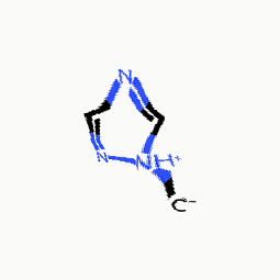 [CH2-][NH+]1C=NC=N1